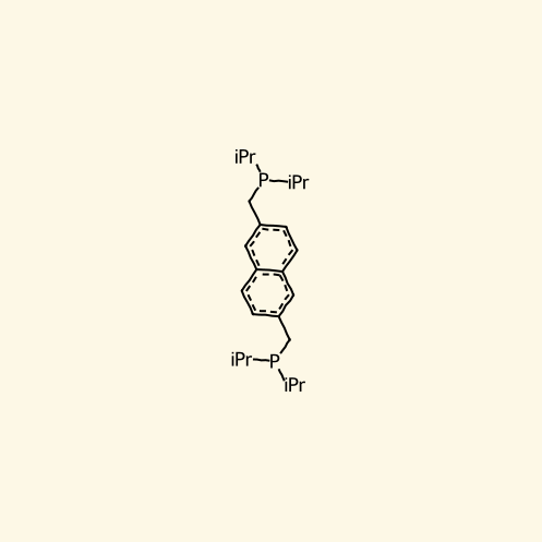 CC(C)P(Cc1ccc2cc(CP(C(C)C)C(C)C)ccc2c1)C(C)C